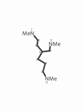 CNCCCC(CCNC)CNC